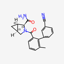 Cc1cccc(C(=O)N2C[C@H]3C[C@H]3[C@H]2C(N)=O)c1-c1cccc(C#N)c1